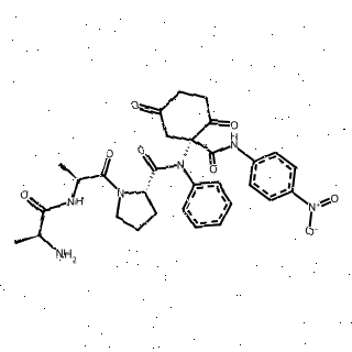 C[C@H](N)C(=O)N[C@@H](C)C(=O)N1CCC[C@H]1C(=O)N(c1ccccc1)[C@]1(C(=O)Nc2ccc([N+](=O)[O-])cc2)CC(=O)CCC1=O